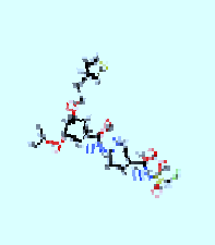 CC(C)Oc1cc(OCCc2ccsc2)cc(C(=O)Nc2ccc(C(=O)NS(=O)(=O)CF)cn2)c1